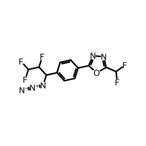 [N-]=[N+]=NC(c1ccc(-c2nnc(C(F)F)o2)cc1)C(F)C(F)F